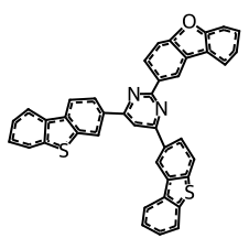 c1ccc2c(c1)oc1ccc(-c3nc(-c4ccc5c(c4)sc4ccccc45)cc(-c4ccc5sc6ccccc6c5c4)n3)cc12